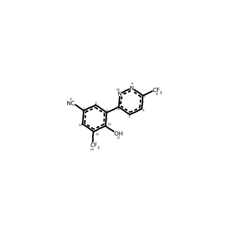 N#Cc1cc(-c2ccc(C(F)(F)F)nn2)c(O)c(C(F)(F)F)c1